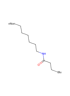 CCCCCCCCCCCCCCCNC(=O)CCC(C)(C)C